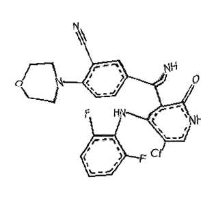 N#Cc1cc(C(=N)c2c(Nc3c(F)cccc3F)c(Cl)c[nH]c2=O)ccc1N1CCOCC1